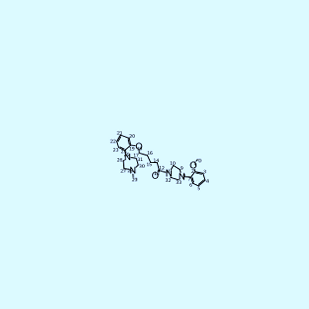 COc1ccccc1N1CCN(C(=O)CCCCOc2ccccc2N2CCN(C)CC2)CC1